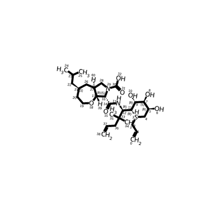 C=CC[SH]1C[C@H](O)[C@H](O)[C@@H](O)[C@H]1[C@H](NC(=O)[C@@H]1[C@@H]2OCC[C@@H](CC(C)C)C[C@H]2CN1C(=O)O)C(C)(C)CC=C